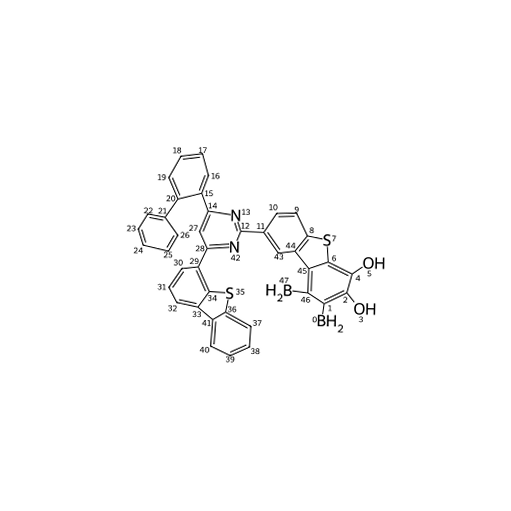 Bc1c(O)c(O)c2sc3ccc(-c4nc(-c5ccccc5-c5ccccc5)cc(-c5cccc6c5sc5ccccc56)n4)cc3c2c1B